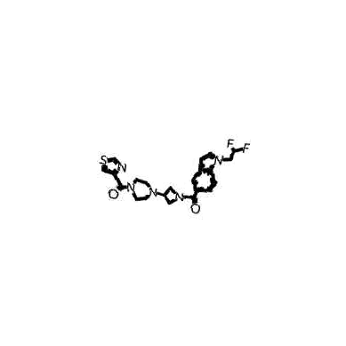 O=C(c1ccc2c(ccn2CC(F)F)c1)N1CC(N2CCN(C(=O)c3cscn3)CC2)C1